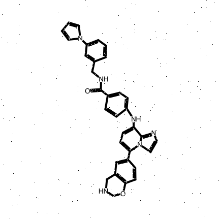 O=C(NCc1cccc(-n2cccc2)c1)c1ccc(Nc2ccc(-c3ccc4c(c3)CNCO4)n3ccnc23)cc1